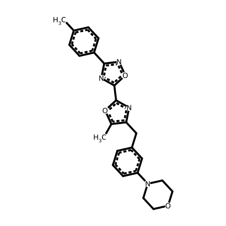 Cc1ccc(-c2noc(-c3nc(Cc4cccc(N5CCOCC5)c4)c(C)o3)n2)cc1